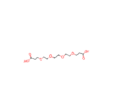 O=C(O)CCOCCOCCOCCOCCC(=O)O